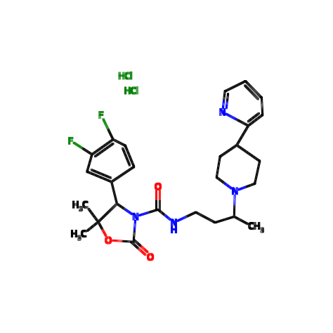 CC(CCNC(=O)N1C(=O)OC(C)(C)C1c1ccc(F)c(F)c1)N1CCC(c2ccccn2)CC1.Cl.Cl